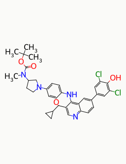 CN(C(=O)OC(C)(C)C)C1CCN(c2ccc(Nc3c(C(=O)C4CC4)cnc4ccc(-c5cc(Cl)c(O)c(Cl)c5)cc34)cc2)C1